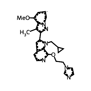 COc1c[c]cn2nc(-c3cc4ccnc(OCCn5ccnc5)c4n3CC3CC3)c(C)c12